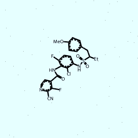 CCC(Cc1ccc(OC)cc1)S(=O)(=O)Nc1ccc(F)c(NC(=O)c2ccnc(C#N)c2F)c1Cl